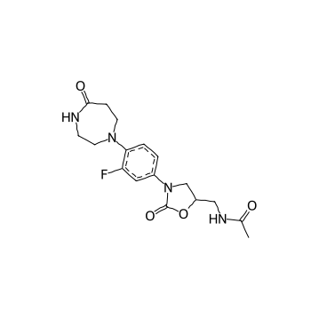 CC(=O)NCC1CN(c2ccc(N3CCNC(=O)CC3)c(F)c2)C(=O)O1